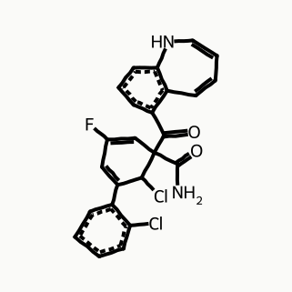 NC(=O)C1(C(=O)c2cccc3c2C=CC=CN3)C=C(F)C=C(c2ccccc2Cl)C1Cl